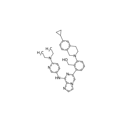 CCN(CC)c1ccc(Nc2nc(-c3cccc(N4CCc5cc(C6CC6)ccc5C4)c3CO)cn3ccnc23)cn1